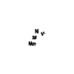 [Mn].[N].[Si].[V]